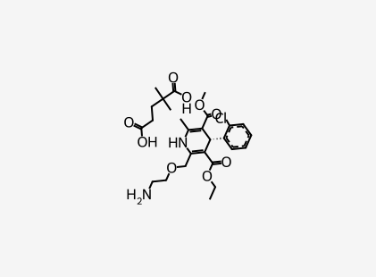 CC(C)(CCC(=O)O)C(=O)O.CCOC(=O)C1=C(COCCN)NC(C)=C(C(=O)OC)[C@@H]1c1ccccc1Cl